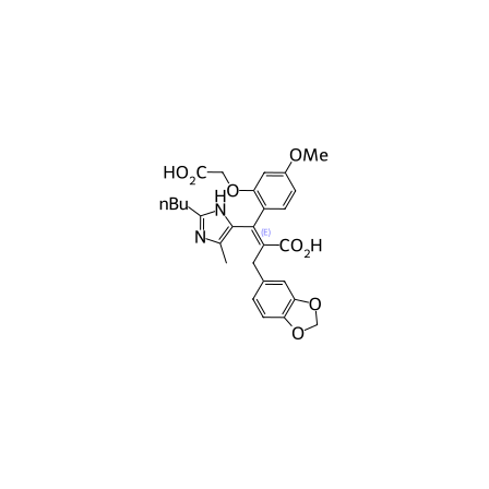 CCCCc1nc(C)c(/C(=C(\Cc2ccc3c(c2)OCO3)C(=O)O)c2ccc(OC)cc2OCC(=O)O)[nH]1